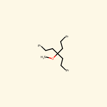 CC(C)CCC(CCC(C)C)(CCC(C)C)O[SiH3]